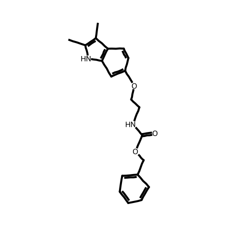 Cc1[nH]c2cc(OCCNC(=O)OCc3ccccc3)ccc2c1C